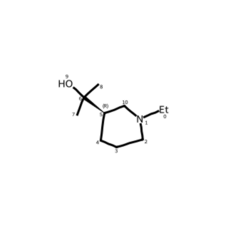 CCN1CCC[C@@H](C(C)(C)O)C1